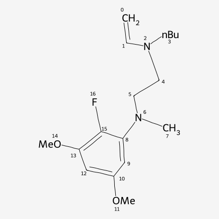 C=CN(CCCC)CCN(C)c1cc(OC)cc(OC)c1F